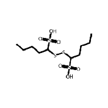 CCCCC(SSC(CCCC)S(=O)(=O)O)S(=O)(=O)O